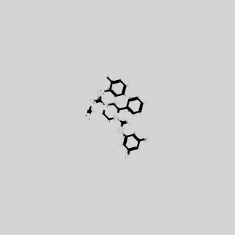 Cc1ccccc1N/C(=N/C#N)N1CCN(C(=O)Nc2cc(F)cc(F)c2)C(c2ccccc2)C1